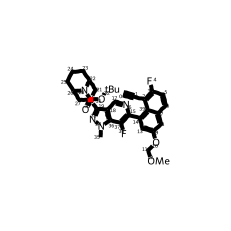 C#Cc1c(F)ccc2cc(OCOC)cc(-c3ncc4c(N5CC6CCCC(C5)N6C(=O)OC(C)(C)C)nn(C)c4c3F)c12